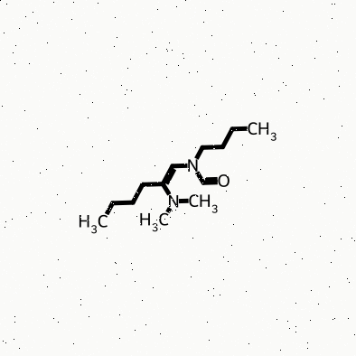 CCCC/C(=C/N(C=O)CCCC)N(C)C